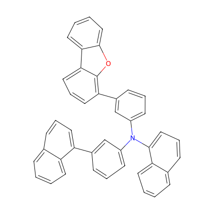 c1cc(-c2cccc3ccccc23)cc(N(c2cccc(-c3cccc4c3oc3ccccc34)c2)c2cccc3ccccc23)c1